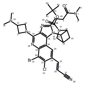 CN(C)C(=O)CCc1nc2c(N3CC(N(C)C)C3)nc3c(Br)c(Cl)c(/C=C/C#N)cc3c2n1C1C2CC1N(C(=O)OC(C)(C)C)C2